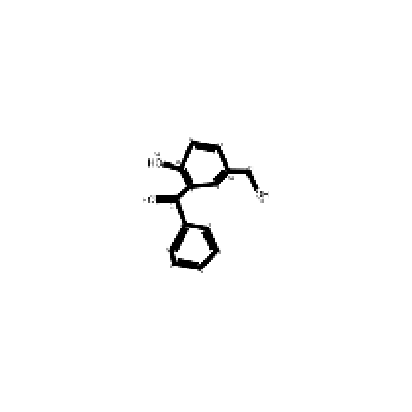 O=C(c1ccccc1)c1cc(CO)ccc1O